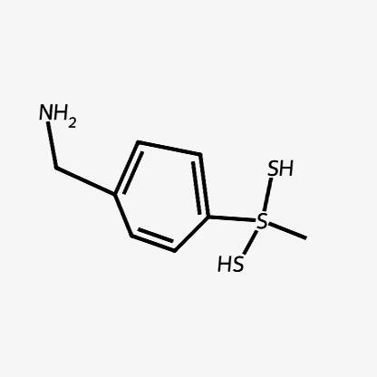 CS(S)(S)c1ccc(CN)cc1